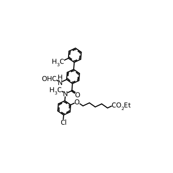 CCOC(=O)CCCCCOc1cc(Cl)ccc1N(C)C(=O)c1ccc(-c2ccccc2C)cc1NC=O